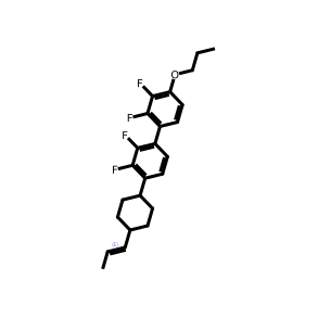 C/C=C/C1CCC(c2ccc(-c3ccc(OCCC)c(F)c3F)c(F)c2F)CC1